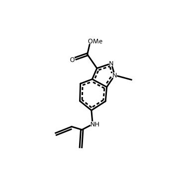 C=CC(=C)Nc1ccc2c(C(=O)OC)nn(C)c2c1